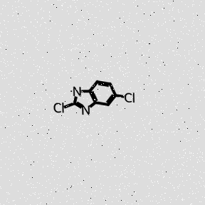 ClC1=Nc2cc(Cl)ccc2[N]1